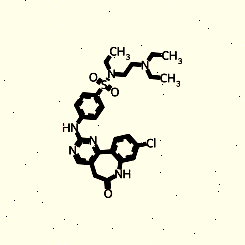 CCN(CC)CCN(CC)S(=O)(=O)c1ccc(Nc2ncc3c(n2)-c2ccc(Cl)cc2NC(=O)C3)cc1